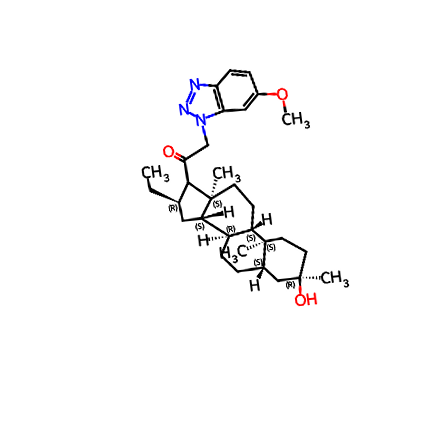 CC[C@@H]1C[C@H]2[C@@H]3CC[C@H]4C[C@](C)(O)CC[C@]4(C)[C@H]3CC[C@]2(C)C1C(=O)Cn1nnc2ccc(OC)cc21